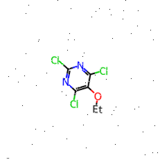 [CH2]COc1c(Cl)nc(Cl)nc1Cl